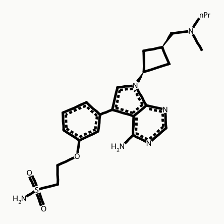 CCCN(C)C[C@H]1C[C@@H](n2cc(-c3cccc(OCCS(N)(=O)=O)c3)c3c(N)ncnc32)C1